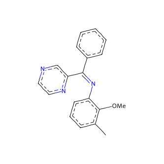 COc1c(C)cccc1N=C(c1ccccc1)c1cnccn1